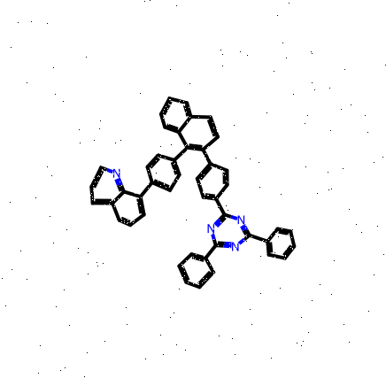 c1ccc(-c2nc(-c3ccccc3)nc(-c3ccc(-c4ccc5ccccc5c4-c4ccc(-c5cccc6cccnc56)cc4)cc3)n2)cc1